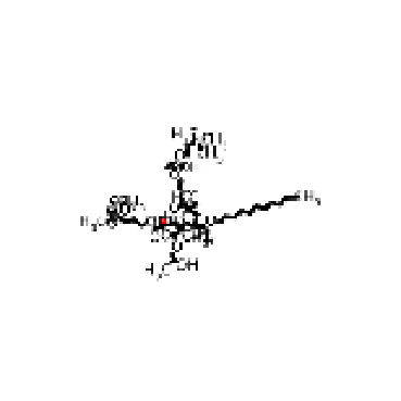 CCCCCCCCCCCCOC(=O)C(C)(CC(C)(CC)C(=O)OCCOP(=O)(O)OCC[N+](C)(C)C)CC(C)(CC(C)(C)C(=O)OCCC[Si](OC)(OC)OC)C(=O)OCC(C)O